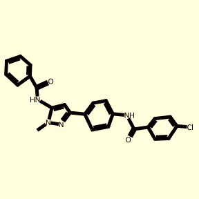 Cn1nc(-c2ccc(NC(=O)c3ccc(Cl)cc3)cc2)cc1NC(=O)c1ccccc1